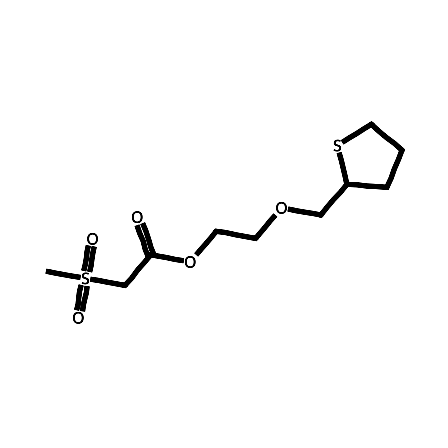 CS(=O)(=O)CC(=O)OCCOCC1CCCS1